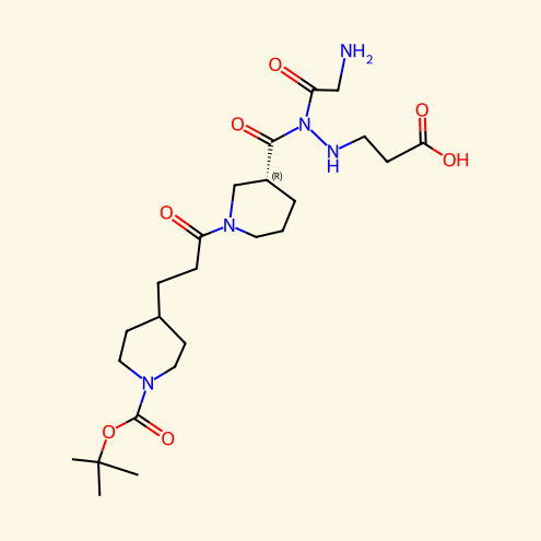 CC(C)(C)OC(=O)N1CCC(CCC(=O)N2CCC[C@@H](C(=O)N(NCCC(=O)O)C(=O)CN)C2)CC1